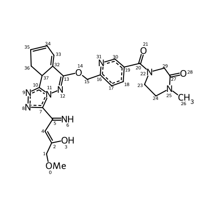 COC/C(O)=C/C(=N)c1nnc2n1N=C(OCc1ccc(C(=O)N3CCN(C)C(=O)C3)cn1)C1=CC=CCC12